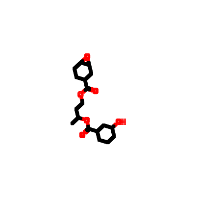 CC(CCOC(=O)C1CCC2OC2C1)OC(=O)C1CCCC(O)C1